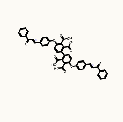 O=C(/C=C/c1ccc(Oc2ccc(-c3ccc(Oc4ccc(/C=C/C(=O)c5ccccc5)cc4)c(C(=O)O)c3C(=O)O)c(C(=O)O)c2C(=O)O)cc1)c1ccccc1